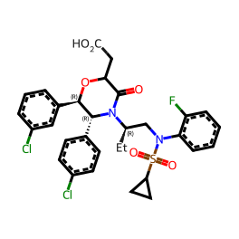 CC[C@H](CN(c1ccccc1F)S(=O)(=O)C1CC1)N1C(=O)C(CC(=O)O)O[C@H](c2cccc(Cl)c2)[C@H]1c1ccc(Cl)cc1